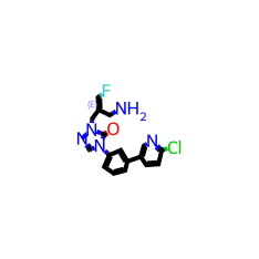 NC/C(=C\F)Cn1ncn(-c2cccc(-c3ccc(Cl)nc3)c2)c1=O